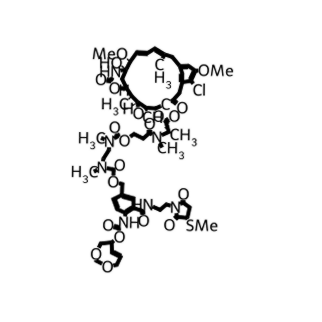 COc1cc2cc(c1Cl)CC(=O)C[C@H](OC(=O)[C@H](C)N(C)C(=O)CCOC(=O)N(C)CCN(C)C(=O)OCc1ccc(NC(=O)OC3/C=C/COCOC3)c(C(=O)NCCN3C(=O)CC(SC)C3=O)c1)[C@]1(C)O[C@H]1[C@H](C)[C@@H]1C[C@@](O)(NC(=O)O1)[C@H](OC)/C=C/C=C(\C)C2